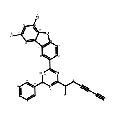 C#CC#CCC(C)C1=NC(c2ccccc2)NC(c2ccc3oc4c(Cl)cc(Cl)cc4c3c2)=N1